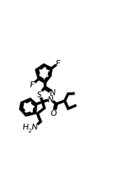 CCC(CC)C(=O)N1N=C(c2cc(F)ccc2F)SC1(CCCN)c1ccccc1